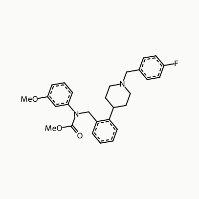 COC(=O)N(Cc1ccccc1C1CCN(Cc2ccc(F)cc2)CC1)c1cccc(OC)c1